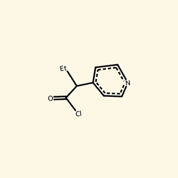 CCC(C(=O)Cl)c1ccncc1